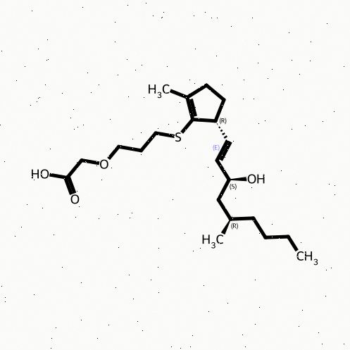 CCCC[C@@H](C)C[C@H](O)/C=C/[C@H]1CCC(C)=C1SCCCOCC(=O)O